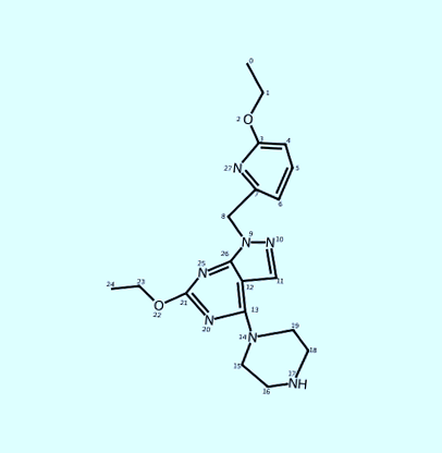 CCOc1cccc(Cn2ncc3c(N4CCNCC4)nc(OCC)nc32)n1